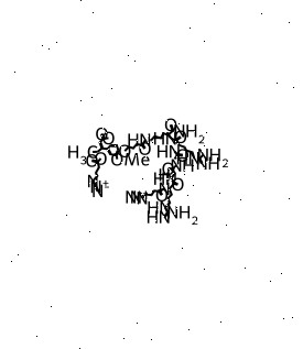 COc1cc2c(C(C)OC(=O)CCCN=[N+]=[N-])cc(=O)oc2cc1OCCCC(=O)NCCCCC(NC(=O)C(CCCNC(=N)N)NC(=O)CNC(=O)CNC(=O)C(CCCNC(=N)N)NC(=O)CCCN=[N+]=[N-])C(N)=O